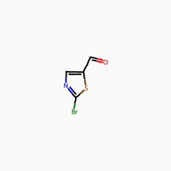 O=[C]c1cnc(Br)s1